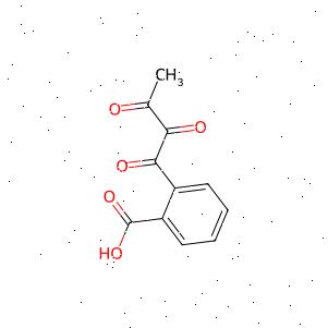 CC(=O)C(=O)C(=O)c1ccccc1C(=O)O